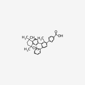 Cc1c(-c2ccc(C(=O)O)cc2)ccc(-c2ccccc2)c1-c1ccc2c(c1)C(C)(C)CCC2(C)C